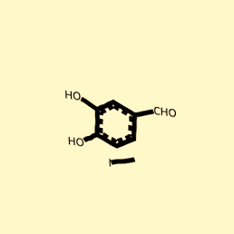 CI.O=Cc1ccc(O)c(O)c1